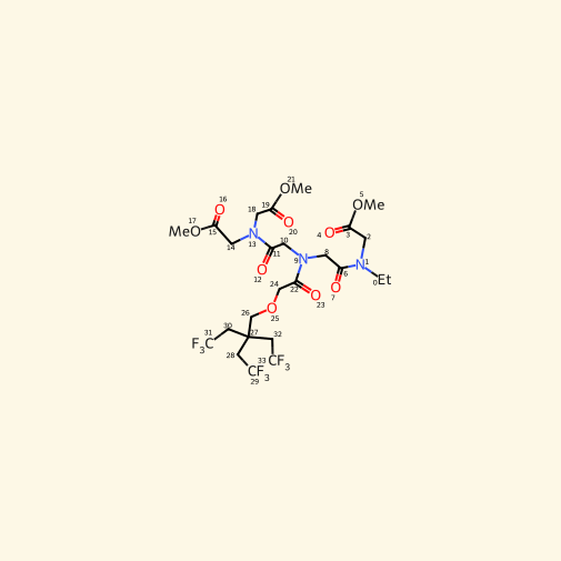 CCN(CC(=O)OC)C(=O)CN(CC(=O)N(CC(=O)OC)CC(=O)OC)C(=O)COCC(CC(F)(F)F)(CC(F)(F)F)CC(F)(F)F